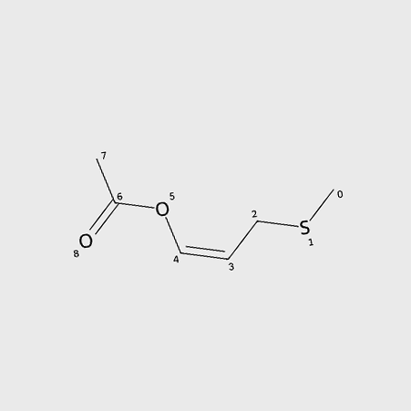 CSC/C=C\OC(C)=O